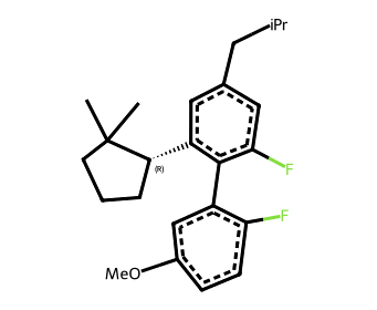 COc1ccc(F)c(-c2c(F)cc(CC(C)C)cc2[C@@H]2CCCC2(C)C)c1